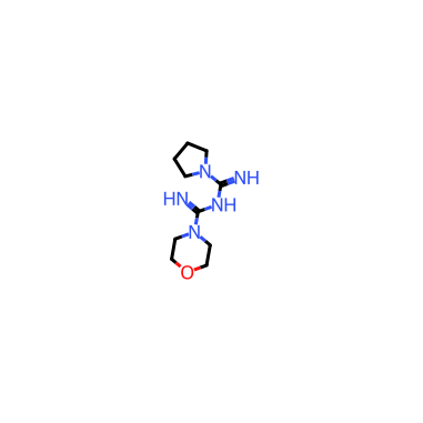 N=C(NC(=N)N1CCOCC1)N1CCCC1